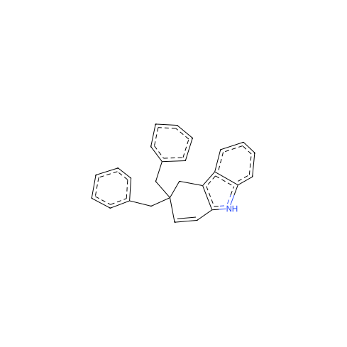 C1=CC(Cc2ccccc2)(Cc2ccccc2)Cc2c1[nH]c1ccccc21